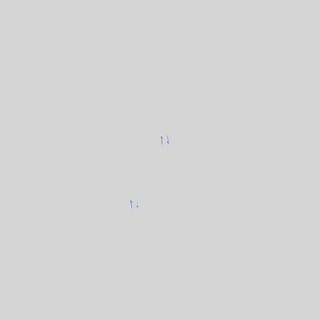 CN=C1CCCN1C